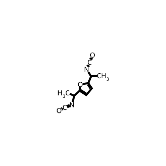 CC(N=C=O)c1ccc(C(C)N=C=O)o1